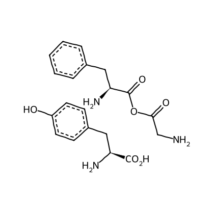 NCC(=O)OC(=O)[C@@H](N)Cc1ccccc1.N[C@@H](Cc1ccc(O)cc1)C(=O)O